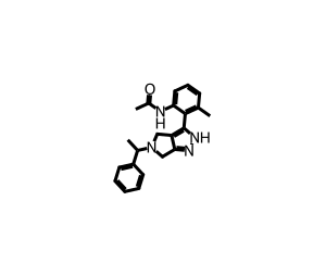 CC(=O)Nc1cccc(C)c1-c1[nH]nc2c1CN(C(C)c1ccccc1)C2